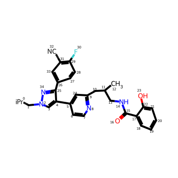 CC(C)Cn1cc(-c2ccnc(CC(C)CNC(=O)c3ccccc3O)c2)c(-c2ccc(F)c(C#N)c2)n1